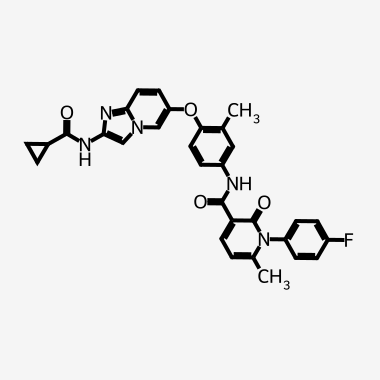 Cc1cc(NC(=O)c2ccc(C)n(-c3ccc(F)cc3)c2=O)ccc1Oc1ccc2nc(NC(=O)C3CC3)cn2c1